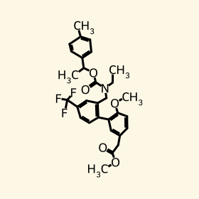 CCN(Cc1cc(C(F)(F)F)ccc1-c1cc(CC(=O)OC)ccc1OC)C(=O)OC(C)c1ccc(C)cc1